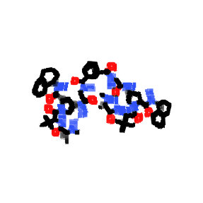 CN[C@@H](C)C(=O)NC(C(=O)N1C[C@@H](NC(=O)CNC(=O)c2cccc(C(=O)NCC(=O)N[C@H]3C[C@@H](C(=O)N[C@@H]4CCCc5ccccc54)N(C(=O)C(NC(=O)[C@H](C)NC)C(C)(C)C)C3)c2)CC1C(=O)N[C@@H]1CCCc2ccccc21)C(C)(C)C